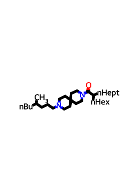 CCCCCCCC(CCCCCC)C(=O)N1CCC2(CCN(CCCC(C)CCCC)CC2)CC1